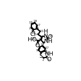 O=C1CSc2ccc([C@@H]3NC(=O)NC(CCc4ccccc4Cl)=C3C(=O)O)cc2N1